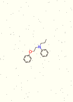 CCCN(CCOc1ccccc1)c1ccccc1